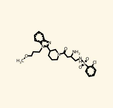 COCCCn1c(C2CCCN(C(=O)CC(N)CNS(=O)(=O)c3ccccc3Cl)C2)nc2ccccc21